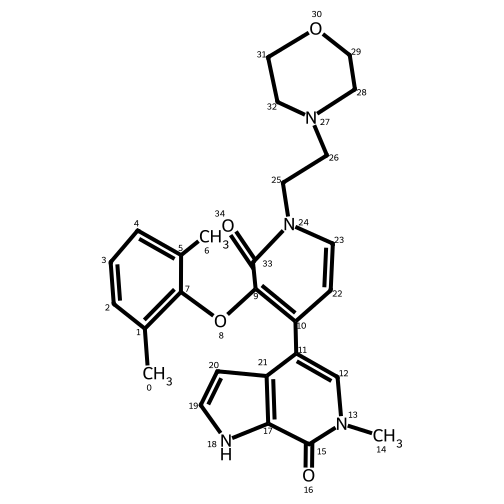 Cc1cccc(C)c1Oc1c(-c2cn(C)c(=O)c3[nH]ccc23)ccn(CCN2CCOCC2)c1=O